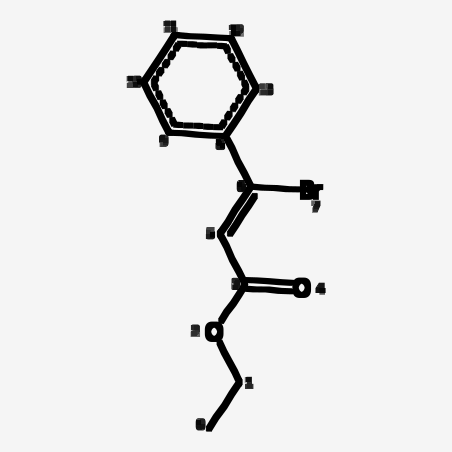 CCOC(=O)C=C(Br)c1ccccc1